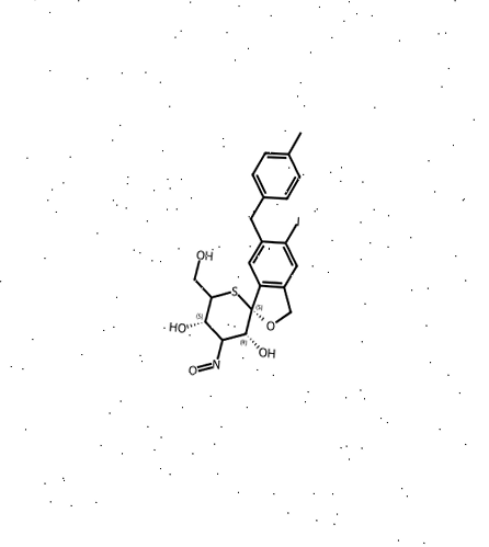 Cc1ccc(Cc2cc3c(cc2I)CO[C@]32SC(CO)[C@@H](O)C(N=O)[C@H]2O)cc1